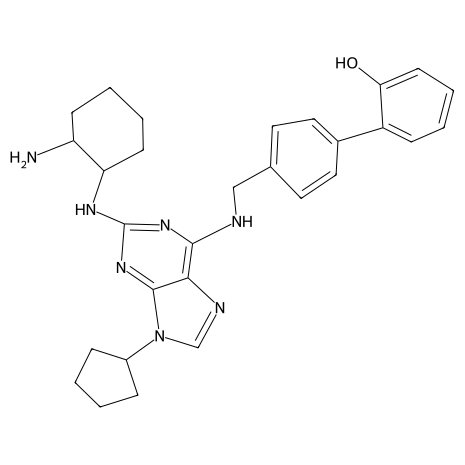 NC1CCCCC1Nc1nc(NCc2ccc(-c3ccccc3O)cc2)c2ncn(C3CCCC3)c2n1